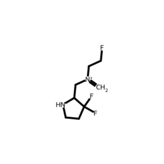 C=[N+](CCF)CC1NCCC1(F)F